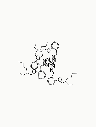 CCCCC(CC)COc1ccccc1CN=N[Si](N=NCc1ccccc1OCC(CC)CCCC)(N=NCc1ccccc1OCC(CC)CCCC)N=NCc1ccccc1OCC(CC)CCCC